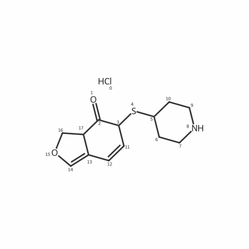 Cl.O=C1C(SC2CCNCC2)C=CC2=COCC12